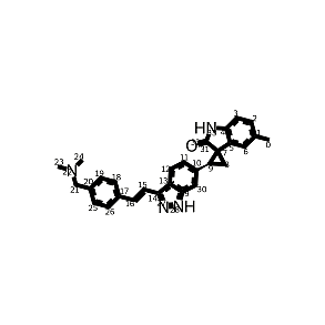 Cc1ccc2c(c1)C1(C[C@H]1c1ccc3c(/C=C/c4ccc(CN(C)C)cc4)n[nH]c3c1)C(=O)N2